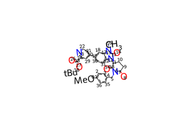 COc1ccc(CN2C(=O)CCC(n3c(=O)n(C)c4cc(-c5ccnc(C(=O)OC(C)(C)C)c5)ccc43)C2=O)cc1